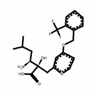 CC(C)C[C@H](N)[C@](O)(Cc1cc(OCc2ccccc2C(F)(F)F)ccn1)C(=O)O